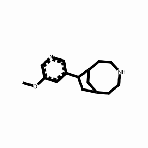 COc1cncc(C2CC3CCNCCC2C3)c1